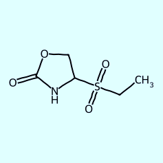 CCS(=O)(=O)C1COC(=O)N1